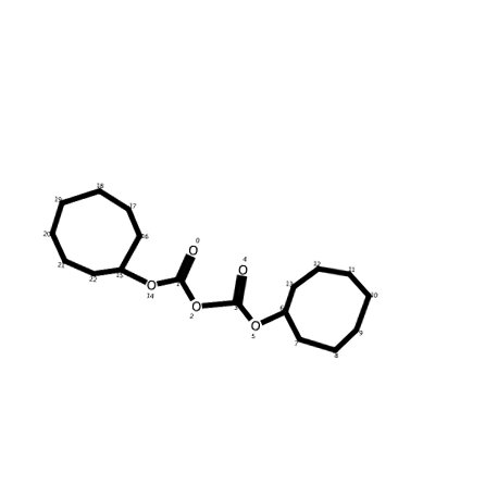 O=C(OC(=O)OC1CCCCCCC1)OC1CCCCCCC1